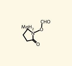 O=CON1CCCC1=O.[MgH2]